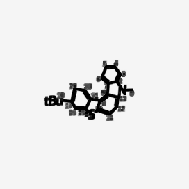 Cn1c2ccccc2c2c3c(ccc21)sc1cc(C(C)(C)C)ccc13